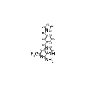 Nc1nc(C(F)(F)F)cc2c1NC=CN2Cc1cccc(CN2CCCC2)c1